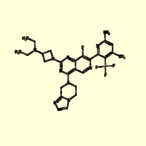 CCN(CC)C1CN(c2nc(N3CCn4ccnc4C3)c3cnc(-c4nc(N)cc(C)c4C(F)(F)F)c(F)c3n2)C1